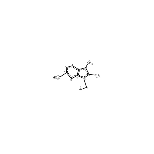 CC(=O)Cn1c(C)c(C)c2ccc(C(=O)O)cc21